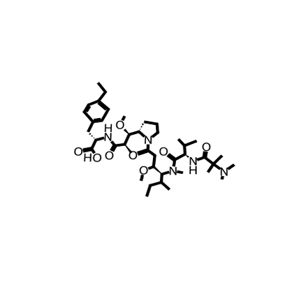 CCc1ccc(C[C@H](NC(=O)[C@H](C)[C@@H](OC)[C@@H]2CCCN2C(=O)CC(OC)[C@H](C(C)CC)N(C)C(=O)[C@@H](NC(=O)C(C)(C)N(C)C)C(C)C)C(=O)O)cc1